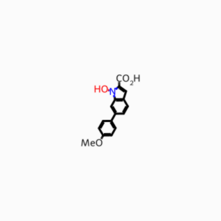 COc1ccc(-c2ccc3cc(C(=O)O)n(O)c3c2)cc1